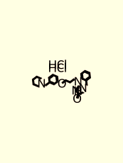 Cl.Cl.O=C1CN(Cc2ccccc2NCCCOc2cccc(CN3CCCCC3)c2)C=N1